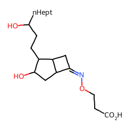 CCCCCCCC(O)CCC1C(O)CC2C(=NOCCC(=O)O)CC21